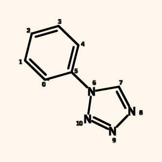 [c]1ccccc1-n1cnnn1